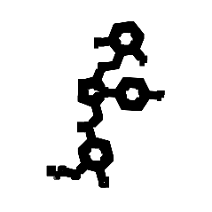 COc1cc(NCc2cnc(SCc3c(F)cccc3F)n2-c2ccc(F)cc2)ccc1Cl